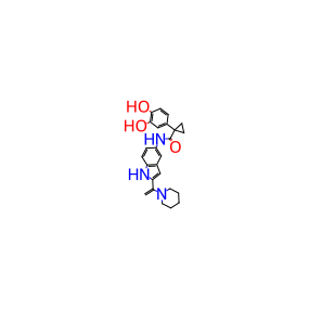 C=C(c1cc2cc(NC(=O)C3(c4ccc(O)c(O)c4)CC3)ccc2[nH]1)N1CCCCC1